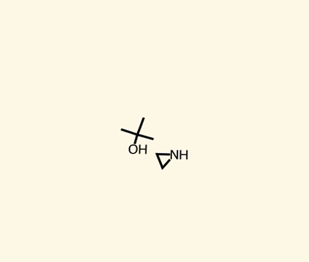 C1CN1.CC(C)(C)O